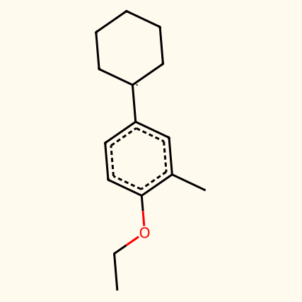 CCOc1ccc([C]2CCCCC2)cc1C